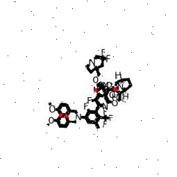 COc1ccc(CN(Cc2ccc(OC)cc2)c2cc(C)c(C(F)(F)F)c(-c3nc4c5c(nc(OCC67CCN6CC(F)(F)C7)nc5c3F)N3C[C@H]5CC[C@@H]([C@H]3[C@H](C)O4)N5C(=O)OC(C)(C)C)c2F)cc1